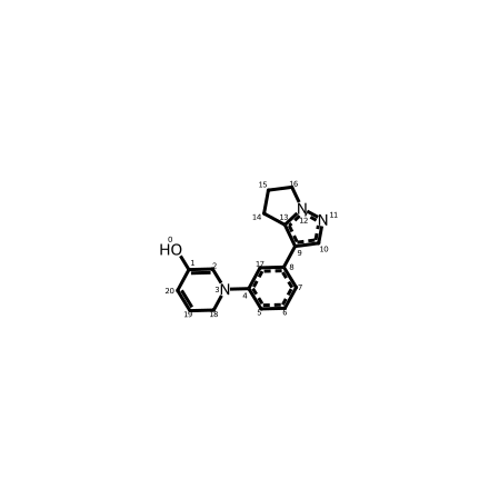 OC1=CN(c2cccc(-c3cnn4c3CCC4)c2)CC=C1